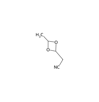 CC1OC(CC#N)O1